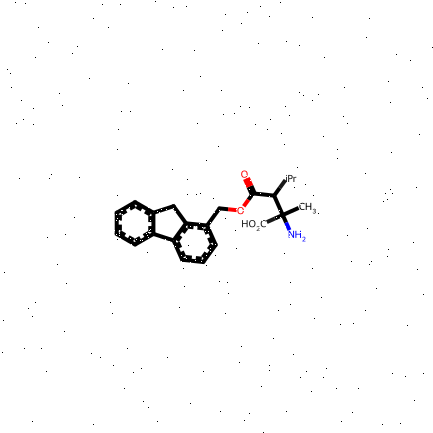 CC(C)C(C(=O)OCc1cccc2c1Cc1ccccc1-2)C(C)(N)C(=O)O